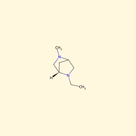 CCN1CC2C[C@H]1CN2C